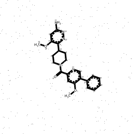 COc1cc(C(=O)N2CCC(c3nnc(N)cc3OC)CC2)ncc1-c1ccccc1